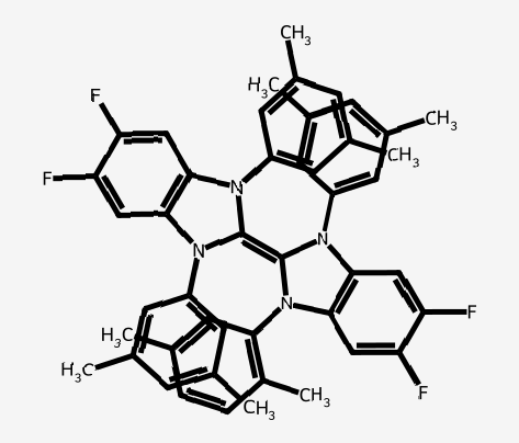 Cc1cc(C)cc(N2C(=C3N(c4cc(C)cc(C)c4)c4cc(F)c(F)cc4N3c3cc(C)ccc3C)N(c3cc(C)cc(C)c3)c3cc(F)c(F)cc32)c1